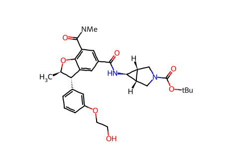 CNC(=O)c1cc(C(=O)N[C@H]2[C@@H]3CN(C(=O)OC(C)(C)C)C[C@@H]32)cc2c1O[C@H](C)[C@H]2c1cccc(OCCO)c1